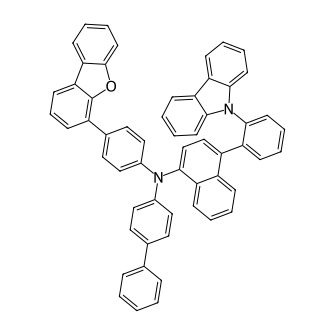 c1ccc(-c2ccc(N(c3ccc(-c4cccc5c4oc4ccccc45)cc3)c3ccc(-c4ccccc4-n4c5ccccc5c5ccccc54)c4ccccc34)cc2)cc1